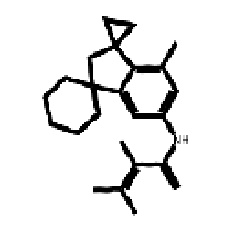 C=C(Nc1cc(C)c2c(c1)C1(CCCCC1)CC21CC1)C(C)=C(C)C